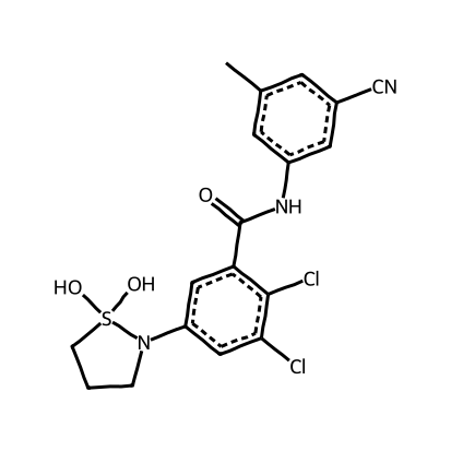 Cc1cc(C#N)cc(NC(=O)c2cc(N3CCCS3(O)O)cc(Cl)c2Cl)c1